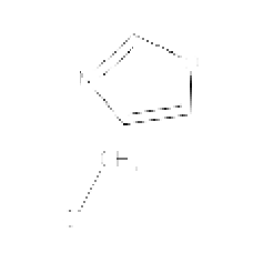 CCl.c1cocn1